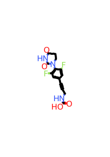 O=C(O)NCC#Cc1cc(F)c(N2CCC(=O)NC2=O)c(F)c1